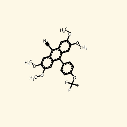 COc1cc2c(C#N)c3cc(OC)c(OC)cc3c(-c3ccc(OC(F)(F)F)cc3)c2cc1OC